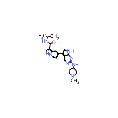 CC(NC(=O)c1cnn2ccc(-c3c[nH]c4nc(NC5CCN(C)CC5)ncc34)cc12)C(F)(F)F